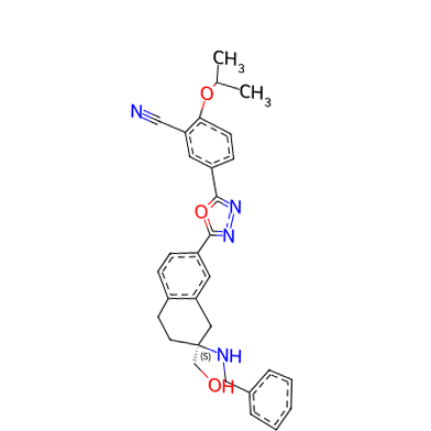 CC(C)Oc1ccc(-c2nnc(-c3ccc4c(c3)C[C@@](CO)(NCc3ccccc3)CC4)o2)cc1C#N